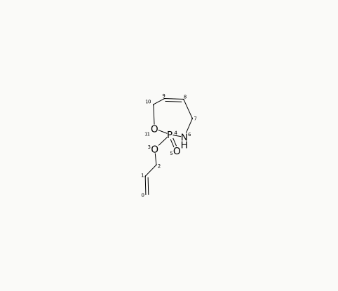 C=CCOP1(=O)NCC=CCO1